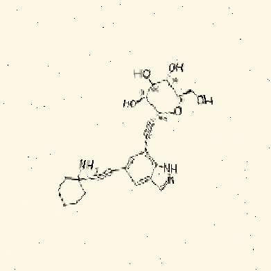 NC1(C#Cc2cc(C#C[C@H]3O[C@H](CO)[C@@H](O)[C@H](O)[C@@H]3O)c3[nH]ncc3c2)CCCCC1